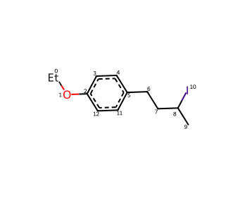 CCOc1ccc(CCC(C)I)cc1